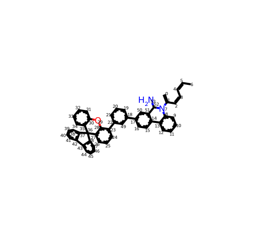 C=C(/C=C\C=C/C)N1c2ccccc2-c2ccc(-c3cccc(-c4cccc5c4Oc4ccccc4C54c5ccccc5-c5ccccc54)c3)cc2C1N